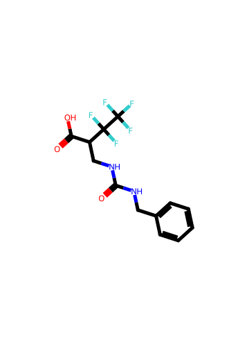 O=C(NCc1ccccc1)NCC(C(=O)O)C(F)(F)C(F)(F)F